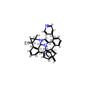 C=C/C=C(\C=C/C)c1cccc(-c2ccncc2)c1C1=CN2C3c4c(cccc4C4(CC)CC24C)-c2ccccc2N13